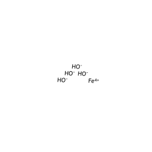 [Fe+4].[OH-].[OH-].[OH-].[OH-]